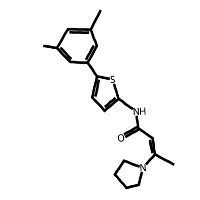 CC(=CC(=O)Nc1ccc(-c2cc(C)cc(C)c2)s1)N1CCCC1